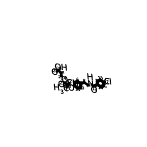 CC(C)(Oc1ccc(CCNC(=O)c2ccc(Cl)cc2)cc1)C(=O)OCCC(=O)O